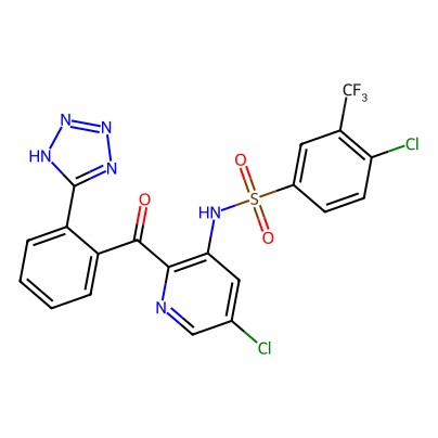 O=C(c1ccccc1-c1nnn[nH]1)c1ncc(Cl)cc1NS(=O)(=O)c1ccc(Cl)c(C(F)(F)F)c1